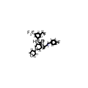 C=C(/C=C/c1ccc(F)cc1)NC1(C(=O)Nc2cc(CF)cc(C(F)(F)F)c2)CCN(C2CCOCC2)CC1